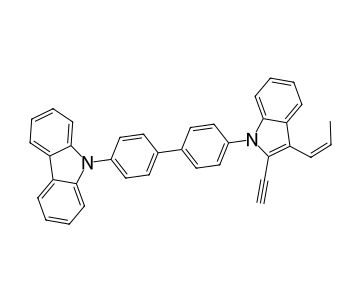 C#Cc1c(/C=C\C)c2ccccc2n1-c1ccc(-c2ccc(-n3c4ccccc4c4ccccc43)cc2)cc1